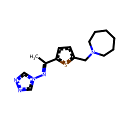 CC(=Nn1cnnc1)c1ccc(CN2CCCCCC2)s1